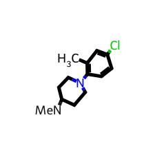 CNC1CCN(c2ccc(Cl)cc2C)CC1